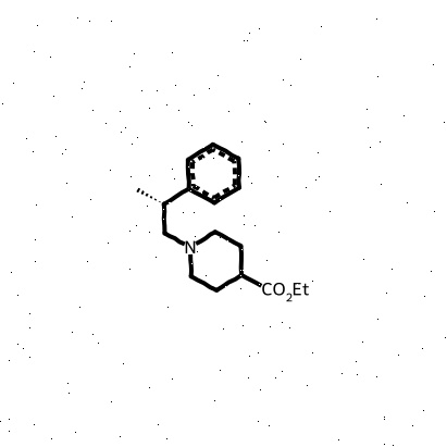 CCOC(=O)C1CCN(C[C@H](C)c2ccccc2)CC1